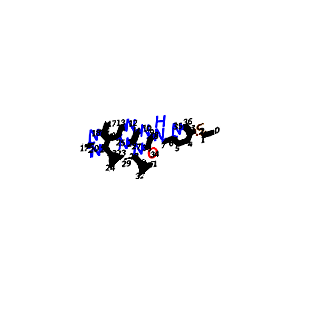 CCSc1ccc(CNc2nc3ncc(-c4c(C)ncnc4C4CC4)nc3n([C@@H](C)C3CC3)c2=O)nc1